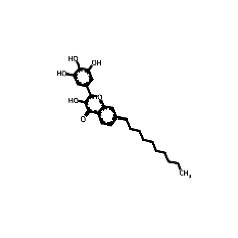 CCCCCCCCCCc1ccc2c(=O)c(O)c(-c3cc(O)c(O)c(O)c3)oc2c1